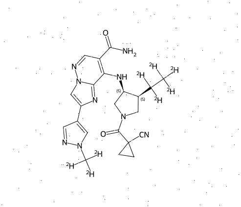 [2H]C([2H])([2H])n1cc(-c2cn3ncc(C(N)=O)c(N[C@@H]4CN(C(=O)C5(C#N)CC5)C[C@@H]4C([2H])([2H])C([2H])([2H])[2H])c3n2)cn1